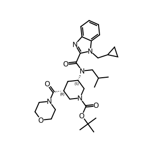 CC(C)CN(C(=O)c1nc2ccccc2n1CC1CC1)[C@H]1C[C@@H](C(=O)N2CCOCC2)CN(C(=O)OC(C)(C)C)C1